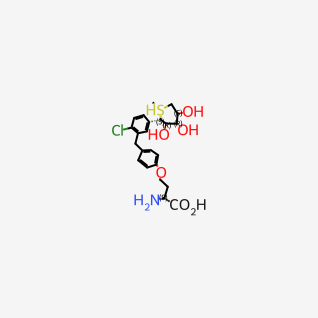 C[SH]1C[C@@H](O)[C@@H](O)[C@@H](O)[C@@H]1c1ccc(Cl)c(Cc2ccc(OCC[C@H](N)C(=O)O)cc2)c1